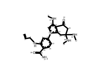 C=CCNc1cc(-n2cc(NC)c3c2CC(NC)(NC)CC3=O)ccc1C(N)=O